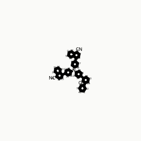 N#Cc1ccc(-c2ccc(N(c3ccc(-c4ccc(C#N)c5ccccc45)cc3)c3ccc(-c4cccc5c4oc4ccccc45)cc3)cc2)c2ccccc12